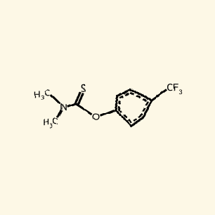 CN(C)C(=S)Oc1ccc(C(F)(F)F)cc1